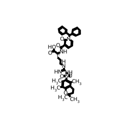 Cc1c(C)c(S(=O)(=O)NC(=N)NCCC[C@@H](NC(=O)c2cccn(C(c3ccccc3)c3ccccc3)c2=O)C(=O)O)c(C)c2c1OC(C)(C)CC2